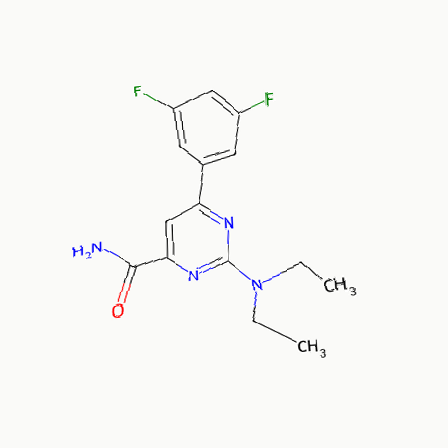 CCN(CC)c1nc(C(N)=O)cc(-c2cc(F)cc(F)c2)n1